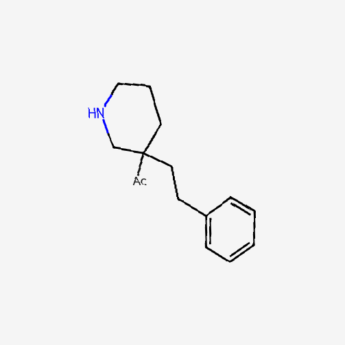 CC(=O)C1(CCc2ccccc2)CCCNC1